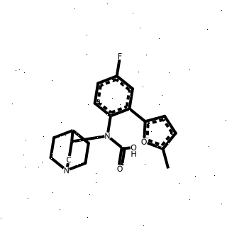 Cc1ccc(-c2cc(F)ccc2N(C(=O)O)C2CN3CCC2CC3)o1